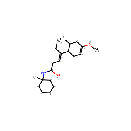 CC/C(=C\CC(O)NC1(C)CCCCC1)C1CC=C(OC)CC1C